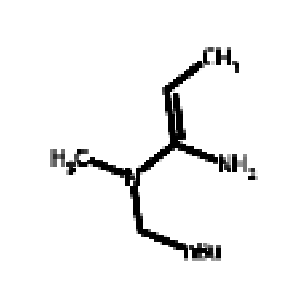 CC=C(N)N(C)CCCCC